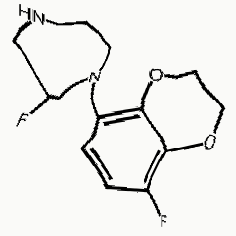 Fc1ccc(N2CCNCC2F)c2c1OCCO2